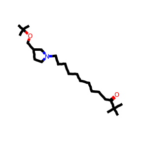 CC(C)(C)OCC1CCN(CCCCCCCCCCC(=O)C(C)(C)C)C1